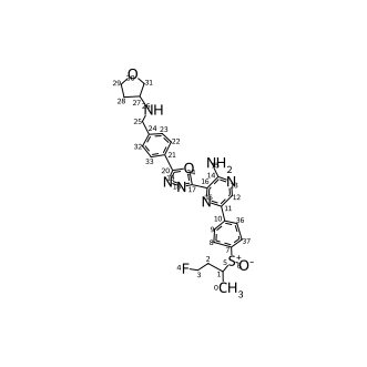 CC(CCF)[S+]([O-])c1ccc(-c2cnc(N)c(-c3nnc(-c4ccc(CNC5CCOC5)cc4)o3)n2)cc1